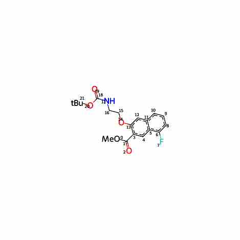 COC(=O)c1cc2c(F)cccc2cc1OCCNC(=O)OC(C)(C)C